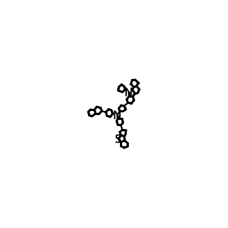 c1ccc(-n2c3cc(-c4ccc(N(c5ccc(-c6ccc7ccccc7c6)cc5)c5ccc(-c6ccc7c(c6)sc6ccccc67)cc5)cc4)ccc3c3ccc4ccccc4c32)cc1